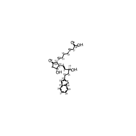 C[C@@](O)(C=C[C@H]1[C@H](O)CC(=O)[C@@H]1SCCCSCC(=O)O)CCc1cc2ccccc2s1